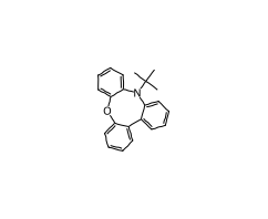 CC(C)(C)n1c2ccccc2oc2ccccc2c2ccccc21